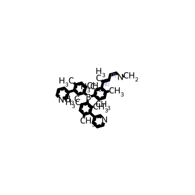 C=N/C=C\C=C(/C)c1c(C)cc(C)c(B(c2c(C)cc(C)c(-c3cccnc3)c2C)c2c(C)cc(C)c(-c3cccnc3)c2C)c1C